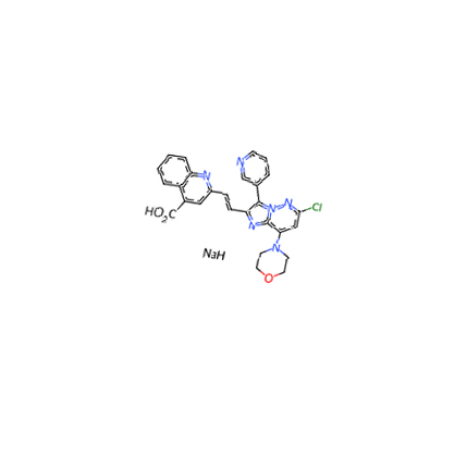 O=C(O)c1cc(C=Cc2nc3c(N4CCOCC4)cc(Cl)nn3c2-c2cccnc2)nc2ccccc12.[NaH]